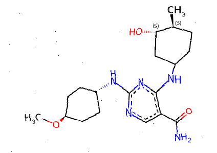 CO[C@H]1CC[C@H](Nc2ncc(C(N)=O)c(NC3CC[C@H](C)[C@@H](O)C3)n2)CC1